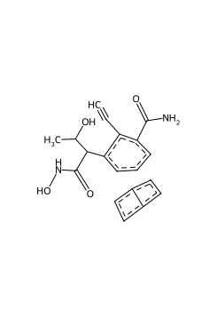 C#Cc1c(C(N)=O)cccc1C(C(=O)NO)C(C)O.c1cc2ccc1-2